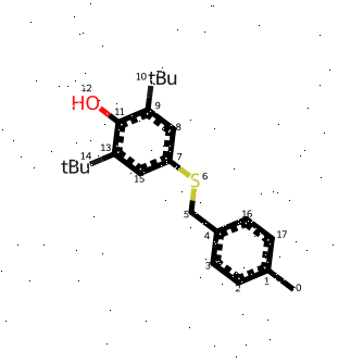 Cc1ccc(CSc2cc(C(C)(C)C)c(O)c(C(C)(C)C)c2)cc1